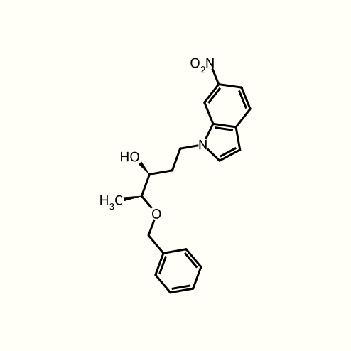 C[C@H](OCc1ccccc1)[C@@H](O)CCn1ccc2ccc([N+](=O)[O-])cc21